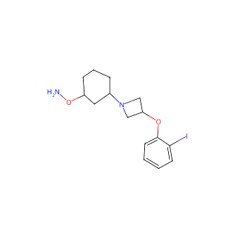 NOC1CCCC(N2CC(Oc3ccccc3I)C2)C1